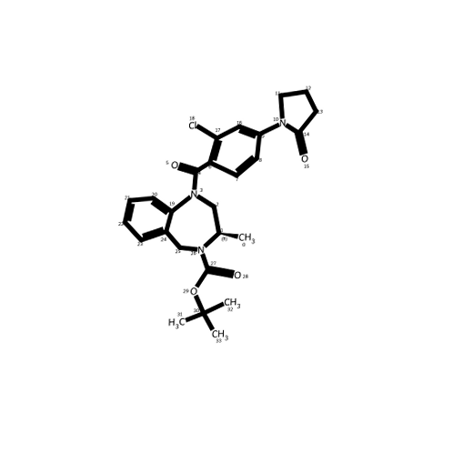 C[C@@H]1CN(C(=O)c2ccc(N3CCCC3=O)cc2Cl)c2ccccc2CN1C(=O)OC(C)(C)C